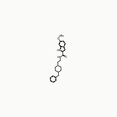 CCCCOc1ccc2cc(C(=O)NCCN3CCC(Cc4ccccc4)CC3)[nH]c2c1